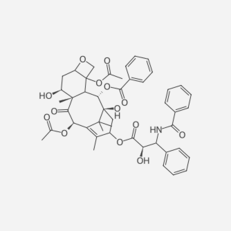 CC(=O)O[C@H]1C(=O)[C@@]2(C)C([C@H](OC(=O)c3ccccc3)[C@]3(O)CC(OC(=O)[C@H](O)C(NC(=O)c4ccccc4)c4ccccc4)C(C)=C1C3(C)C)C1(OC(C)=O)COC1C[C@@H]2O